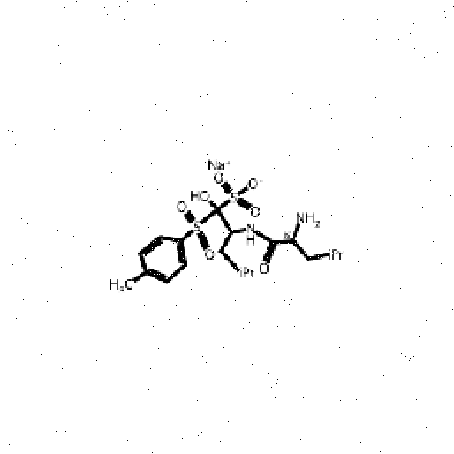 Cc1ccc(S(=O)(=O)C(O)(C(CC(C)C)NC(=O)[C@@H](N)CC(C)C)S(=O)(=O)[O-])cc1.[Na+]